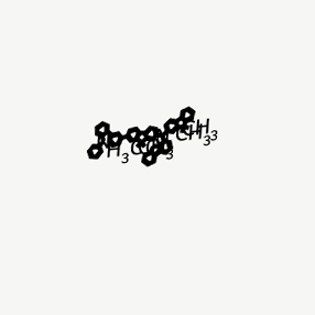 CC1(C)c2ccccc2-c2ccc(N(c3ccc4c(c3)C(C)(C)c3cc(-c5ccc6c(c5)c5ccccc5n6-c5ccccc5)ccc3-4)c3cccc4c3oc3ccccc34)cc21